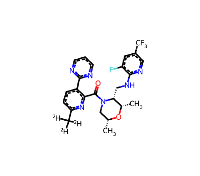 [2H]C([2H])([2H])c1ccc(-c2ncccn2)c(C(=O)N2C[C@@H](C)O[C@@H](C)[C@H]2CNc2ncc(C(F)(F)F)cc2F)n1